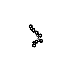 CN(c1ccccc1-c1ccc2c(c1)-c1ccccc1C2(C)C)C1CC=Cc2c1sc1cc(C3(C)C=CC4=C(Cc5ccccc54)C3)ccc21